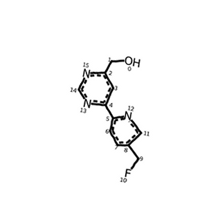 OCc1cc(-c2ccc(CF)cn2)ncn1